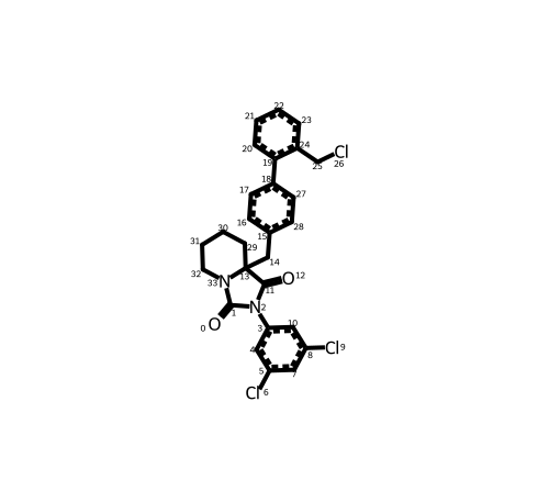 O=C1N(c2cc(Cl)cc(Cl)c2)C(=O)C2(Cc3ccc(-c4ccccc4CCl)cc3)CCCCN12